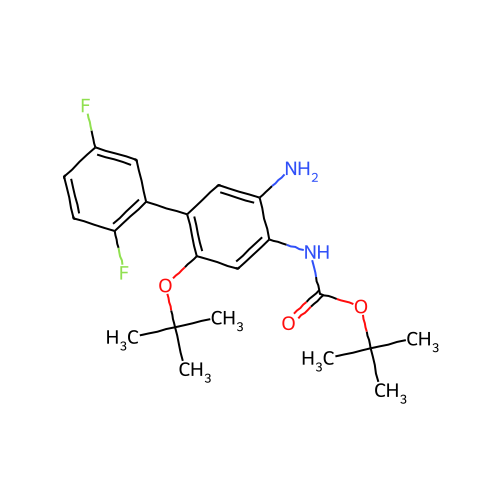 CC(C)(C)OC(=O)Nc1cc(OC(C)(C)C)c(-c2cc(F)ccc2F)cc1N